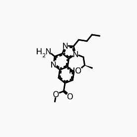 CCCCc1nc2c(N)nc3cc(C(=O)OC)ccc3c2n1C[C@@H](C)O